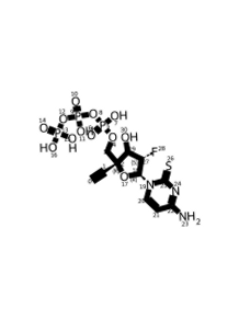 C#C[C@]1(COP(=O)(O)OP(=O)(O)OP(=O)(O)O)O[C@@H](n2ccc(N)nc2=S)[C@@H](F)C1O